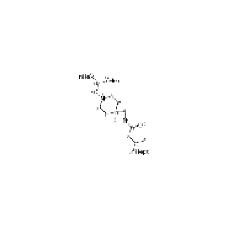 CCCCCCCC(C)CC(=O)N1CC2(CCN(CC(CCCCCC)CCCCCC)CC2)C1